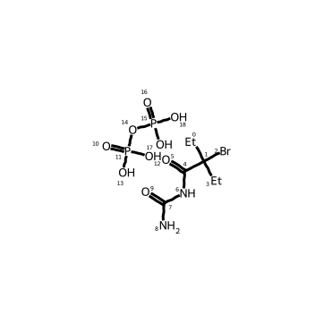 CCC(Br)(CC)C(=O)NC(N)=O.O=P(O)(O)OP(=O)(O)O